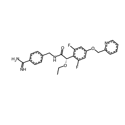 CCO[C@H](C(=O)NCc1ccc(C(=N)N)cc1)c1c(F)cc(OCc2ccccn2)cc1F